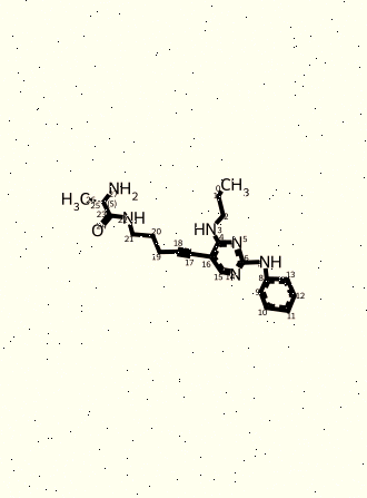 CCCNc1nc(Nc2ccccc2)ncc1C#CCCCNC(=O)[C@H](C)N